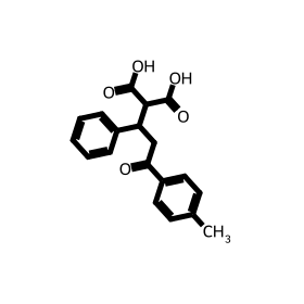 Cc1ccc(C(=O)CC(c2ccccc2)C(C(=O)O)C(=O)O)cc1